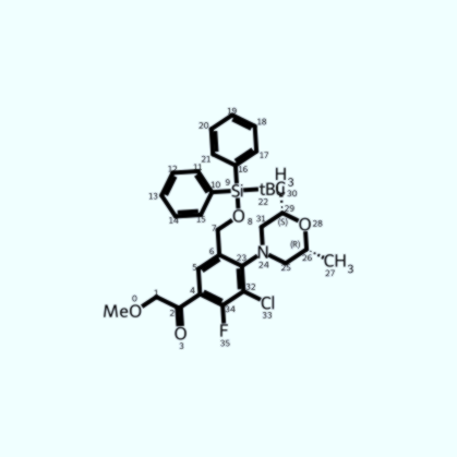 COCC(=O)c1cc(CO[Si](c2ccccc2)(c2ccccc2)C(C)(C)C)c(N2C[C@@H](C)O[C@@H](C)C2)c(Cl)c1F